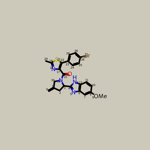 C=C1CC(c2nc3cc(OC)ccc3[nH]2)N(C(=O)c2nc(C)sc2-c2ccc(Br)cc2)C1